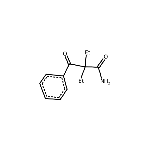 CCC(CC)(C(N)=O)C(=O)c1ccccc1